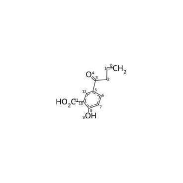 C=CCC(=O)c1ccc(O)c(C(=O)O)c1